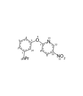 CCCc1cccc(Oc2ccc([N+](=O)[O-])cn2)c1